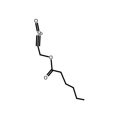 CCCCCC(=O)OC[C]#[Sb]=[O]